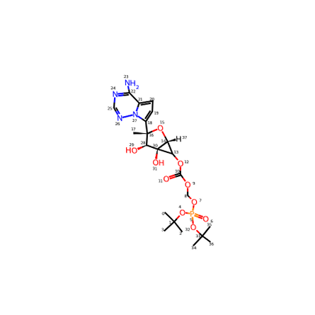 CC(C)(C)OP(=O)(OCOC(=O)OC1[C@H]2O[C@@](C)(c3ccc4c(N)ncnn34)[C@H](O)[C@@]12O)OC(C)(C)C